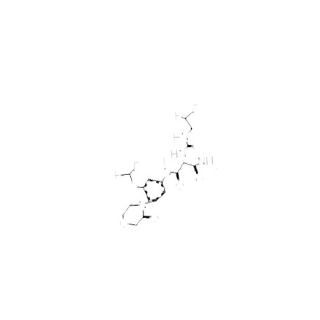 NC(=O)[C@@H](NC(=O)NCC(F)F)C(=O)Nc1ccc(N2CCOCC2=O)c(OC(F)F)c1